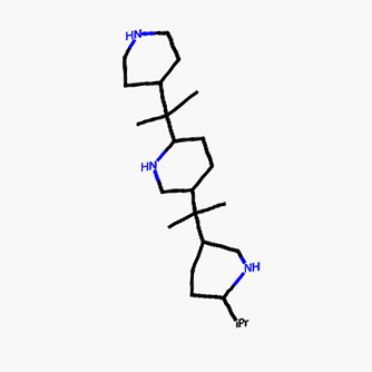 CC(C)C1CCC(C(C)(C)C2CCC(C(C)(C)C3CCNCC3)NC2)CN1